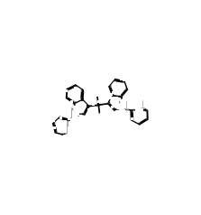 CC(C)(c1cn(-c2ccccn2)c2ccccc12)c1cn(-c2ccccn2)c2ccccc12